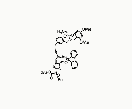 C=CS(=O)(=O)N(Cc1cccc(CC#Cc2cc(O[Si](c3ccccc3)(c3ccccc3)C(C)(C)C)c3nc(N(OC(C)(C)C)C(=O)OC(C)(C)C)sc3c2)c1)Cc1ccc(OC)cc1OC